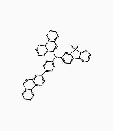 CC1(C)c2ccccc2-c2ccc(N(c3ccc(-c4ccc5c(ccc6ccccc65)c4)cc3)c3cc4ccccc4c4ccccc34)cc21